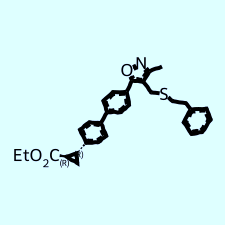 CCOC(=O)[C@@H]1C[C@H]1c1ccc(-c2ccc(-c3onc(C)c3CSCCc3ccccc3)cc2)cc1